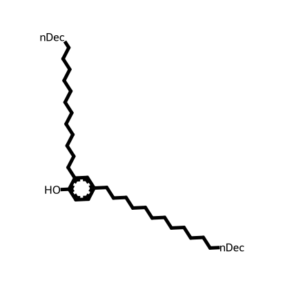 CCCCCCCCCCCCCCCCCCCCCCc1ccc(O)c(CCCCCCCCCCCCCCCCCCCCCC)c1